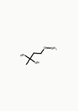 CCCC(C)(CCC)CCO[SiH3]